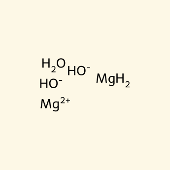 O.[Mg+2].[MgH2].[OH-].[OH-]